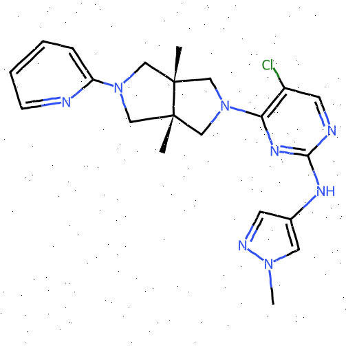 Cn1cc(Nc2ncc(Cl)c(N3C[C@]4(C)CN(c5ccccn5)C[C@]4(C)C3)n2)cn1